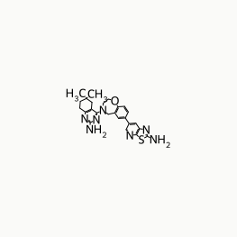 CC1(C)CCc2nc(N)nc(N3CCOc4ccc(-c5cnc6sc(N)nc6c5)cc4C3)c2C1